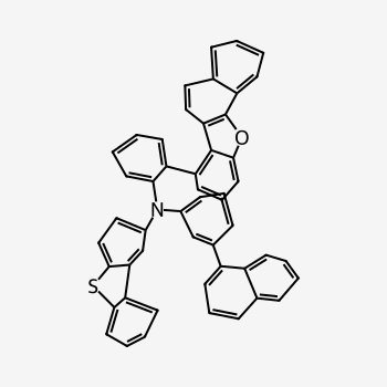 c1cc(-c2cccc3ccccc23)cc(N(c2ccc3sc4ccccc4c3c2)c2ccccc2-c2cccc3oc4c5ccccc5ccc4c23)c1